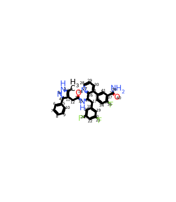 Cc1[nH]nc(-c2ccccc2)c1CC(=O)NC(Cc1cc(F)cc(F)c1)c1ncccc1-c1ccc(F)c(C(N)=O)c1